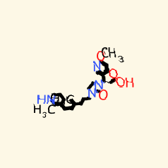 C=C(/C=C\C1=C(C)NCCC1)CCCN1CCN([C@@H](CC(=O)O)c2ccc(OC)nc2)C1=O